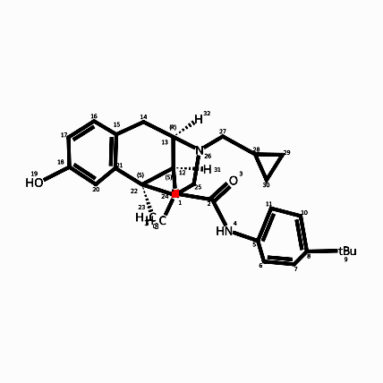 CN(C(=O)Nc1ccc(C(C)(C)C)cc1)[C@@H]1[C@H]2Cc3ccc(O)cc3[C@]1(C)CCN2CC1CC1